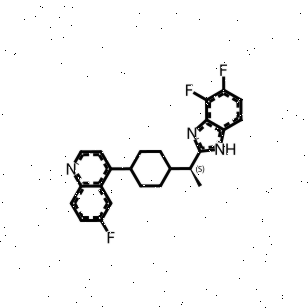 C[C@H](c1nc2c(F)c(F)ccc2[nH]1)C1CCC(c2ccnc3ccc(F)cc23)CC1